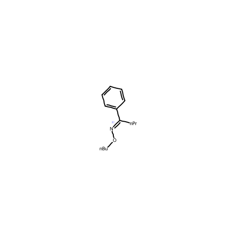 CCCCO/N=C(\CCC)c1ccccc1